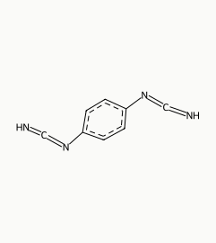 N=C=Nc1ccc(N=C=N)cc1